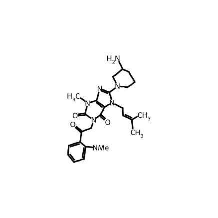 CNc1ccccc1C(=O)Cn1c(=O)c2c(nc(N3CCCC(N)C3)n2CC=C(C)C)n(C)c1=O